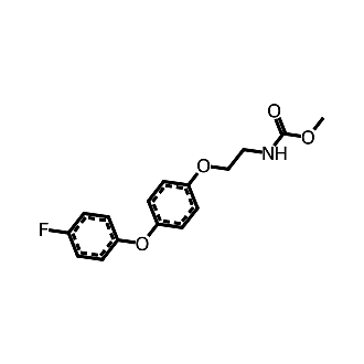 COC(=O)NCCOc1ccc(Oc2ccc(F)cc2)cc1